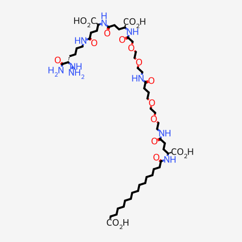 NN[C@@H](CCCCNC(=O)CC[C@H](NC(=O)CC[C@H](NC(=O)COCCOCCNC(=O)CCCOCCOCCNC(=O)CC[C@H](NC(=O)CCCCCCCCCCCCCCC(=O)O)C(=O)O)C(=O)O)C(=O)O)C(N)=O